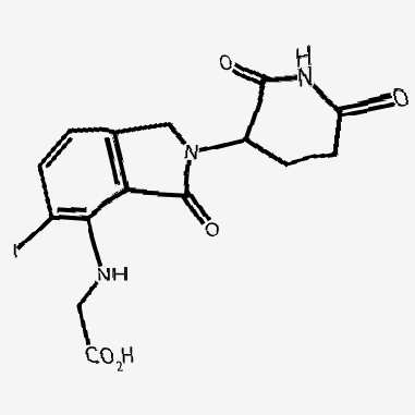 O=C(O)CNc1c(I)ccc2c1C(=O)N(C1CCC(=O)NC1=O)C2